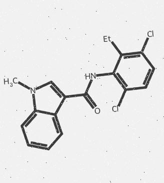 CCc1c(Cl)[c]cc(Cl)c1NC(=O)c1cn(C)c2ccccc12